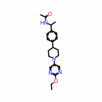 CCOc1ncc(N2CCC(c3ccc(C(C)NC(C)=O)cc3)CC2)cn1